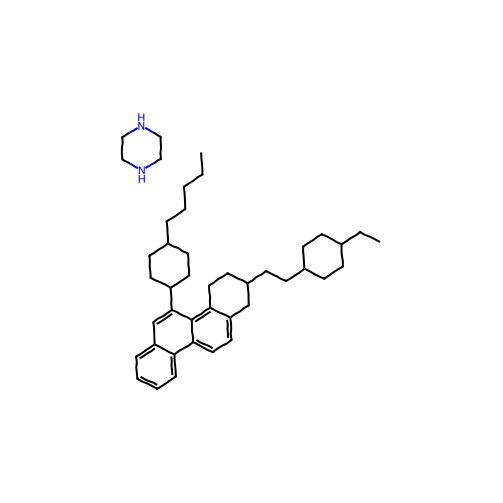 C1CNCCN1.CCCCCC1CCC(c2cc3ccccc3c3ccc4c(c23)CCC(CCC2CCC(CC)CC2)C4)CC1